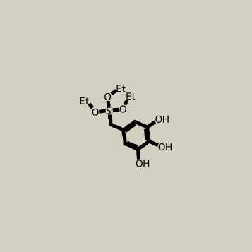 CCO[Si](Cc1cc(O)c(O)c(O)c1)(OCC)OCC